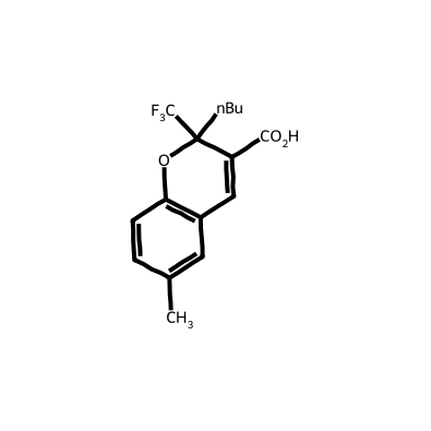 CCCCC1(C(F)(F)F)Oc2ccc(C)cc2C=C1C(=O)O